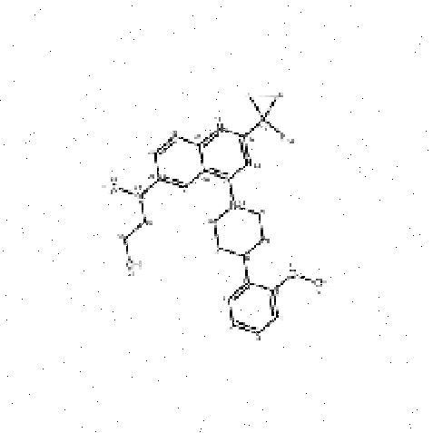 COc1ccccc1C1CCN(c2nc(C3(F)CC3)nc3ccc(N(C)CCO)cc23)CC1